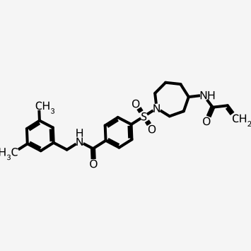 C=CC(=O)NC1CCCN(S(=O)(=O)c2ccc(C(=O)NCc3cc(C)cc(C)c3)cc2)CC1